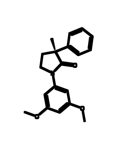 COc1cc(OC)cc(N2CC[C@@](C)(c3ccccc3)C2=O)c1